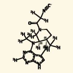 [2H]c1nc(N(C([2H])([2H])[2H])[C@@]2([2H])C([2H])([2H])N(C(=O)C([2H])([2H])[N+]#[C-])CC[C@@]2([2H])C([2H])([2H])[2H])c2c([2H])c[nH]c2n1